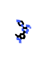 Cc1n[nH]c2ccc(-c3nnc(N)c(N4CCNCC4)n3)cc12